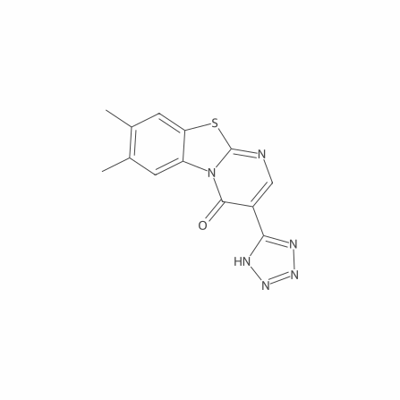 Cc1cc2sc3ncc(-c4nnn[nH]4)c(=O)n3c2cc1C